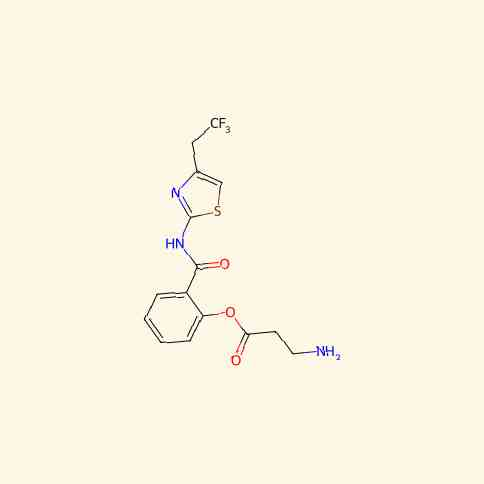 NCCC(=O)Oc1ccccc1C(=O)Nc1nc(CC(F)(F)F)cs1